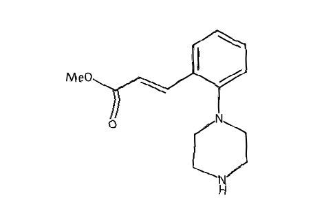 COC(=O)/C=C/c1ccccc1N1CCNCC1